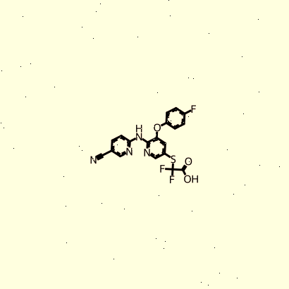 N#Cc1ccc(Nc2ncc(SC(F)(F)C(=O)O)cc2Oc2ccc(F)cc2)nc1